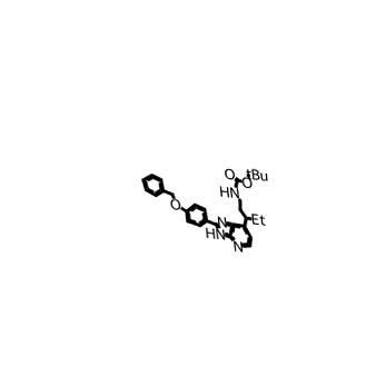 CCC(CCNC(=O)OC(C)(C)C)c1ccnc2[nH]c(-c3ccc(OCc4ccccc4)cc3)nc12